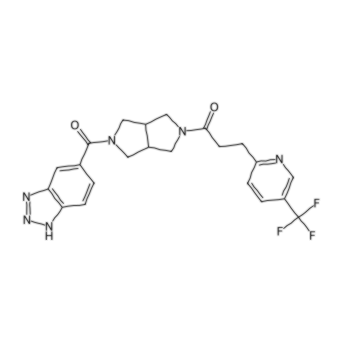 O=C(CCc1ccc(C(F)(F)F)cn1)N1CC2CN(C(=O)c3ccc4[nH]nnc4c3)CC2C1